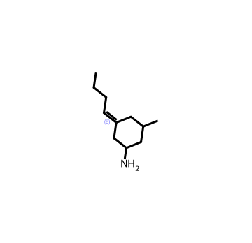 CCC/C=C1\CC(C)CC(N)C1